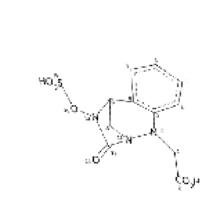 O=C(O)CN1c2ccccc2C2CN1C(=O)N2OS(=O)(=O)O